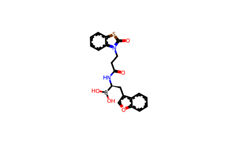 O=C(CCn1c(=O)sc2ccccc21)N[C@@H](Cc1coc2ccccc12)B(O)O